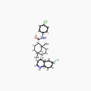 O=C(Nc1ccc(Cl)cc1)[C@H]1CC[C@@H]2C[C@H]1CC[C@@H]2c1ccnc2ccc(F)cc12